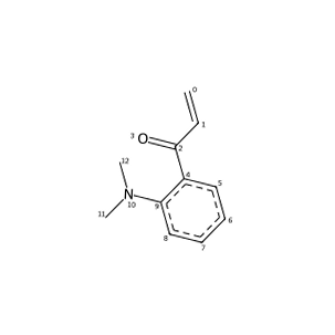 C=CC(=O)c1ccccc1N(C)C